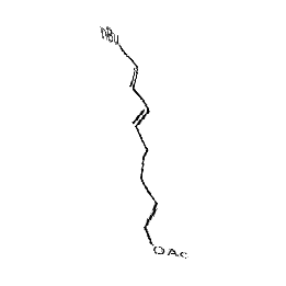 CCCCC=CC=CCCCCOC(C)=O